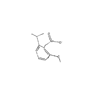 COc1cccc(C(C)C)c1[N+](=O)[O-]